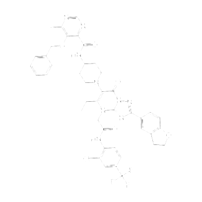 CCc1c(N2CCC(NC(=O)c3ncnc(C)c3OCc3ccccc3)CC2)c(=O)n2nc(-c3ccc4c(c3)CCO4)nc2n1CC(=O)Nc1ccc(C(F)(F)F)cc1Cl